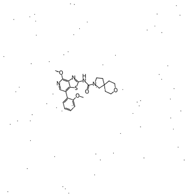 COc1ccccc1-c1cnc(OC)c2nc(NC(=O)N3CCC4(CCOCC4)C3)sc12